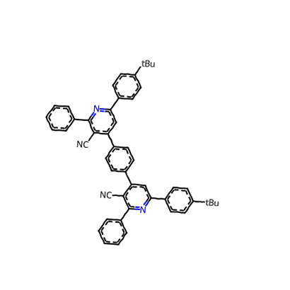 CC(C)(C)c1ccc(-c2cc(-c3ccc(-c4cc(-c5ccc(C(C)(C)C)cc5)nc(-c5ccccc5)c4C#N)cc3)c(C#N)c(-c3ccccc3)n2)cc1